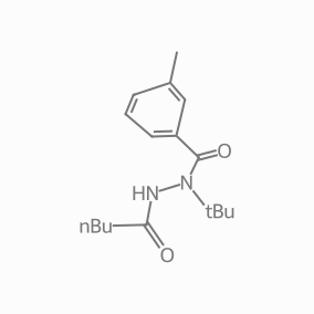 CCCCC(=O)NN(C(=O)c1cccc(C)c1)C(C)(C)C